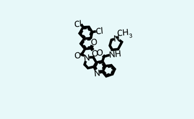 CN1CCC(NC(=O)c2c3c(nc4ccccc24)CCN(C(=O)c2cc4cc(Cl)cc(Cl)c4oc2=O)C3)CC1